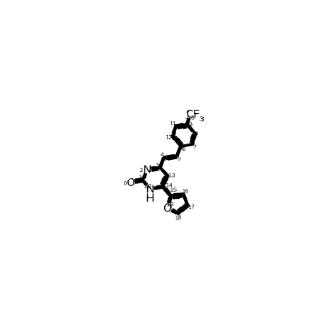 O=c1nc(C=Cc2ccc(C(F)(F)F)cc2)cc(-c2ccco2)[nH]1